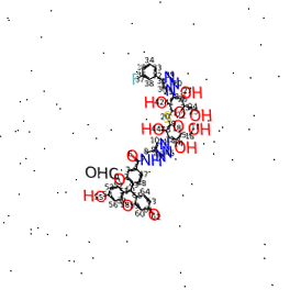 O=COc1cc(C(=O)NCc2cn(C3C(O)[C@@H](CO)OC(S[C@@H]4OC(CO)[C@H](O)[C@H](n5cc(-c6cccc(F)c6)nn5)C4O)[C@@H]3O)nn2)ccc1C1c2ccc(O)cc2OC2=CC(=O)C=CC21